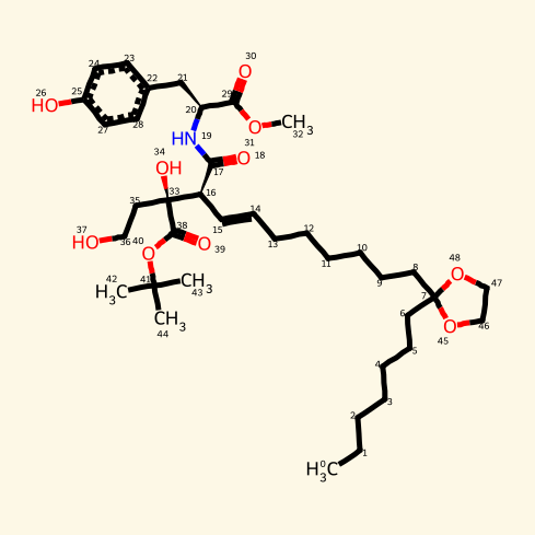 CCCCCCCC1(CCCCCC/C=C/[C@H](C(=O)N[C@@H](Cc2ccc(O)cc2)C(=O)OC)[C@@](O)(CCO)C(=O)OC(C)(C)C)OCCO1